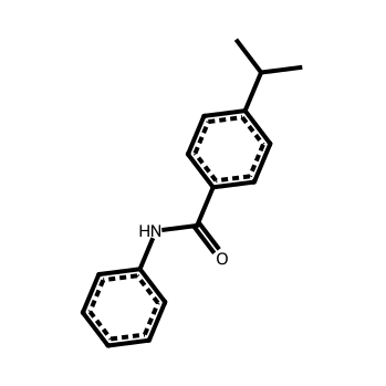 CC(C)c1ccc(C(=O)Nc2ccccc2)cc1